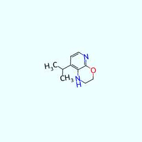 CC(C)c1ccnc2c1NCCO2